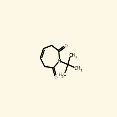 CC(C)(C)N1C(=O)CC=CCC1=O